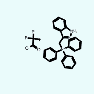 O=C([O-])C(F)(F)F.c1ccc([P+](Cc2n[nH]c3ccccc23)(c2ccccc2)c2ccccc2)cc1